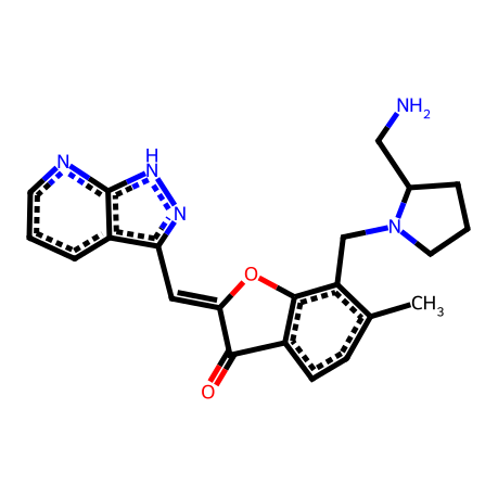 Cc1ccc2c(c1CN1CCCC1CN)O/C(=C\c1n[nH]c3ncccc13)C2=O